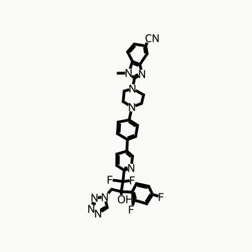 Cn1c(N2CCN(c3ccc(-c4ccc(C(F)(F)C(O)(Cn5cnnn5)c5ccc(F)cc5F)nc4)cc3)CC2)nc2cc(C#N)ccc21